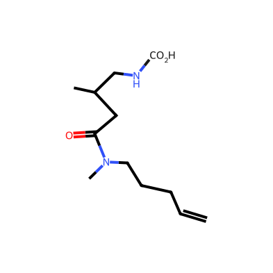 C=CCCCN(C)C(=O)CC(C)CNC(=O)O